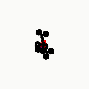 c1ccc(C(CCCOB(OCCCC(c2ccccc2)c2ccccc2)OP(c2ccccc2)(c2ccccc2)(c2ccccc2)c2ccccc2)c2ccccc2)cc1